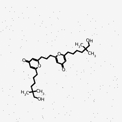 CC(C)(CO)CCCCc1cc(=O)cc(CCCc2cc(=O)cc(CCCCC(C)(C)CO)o2)o1